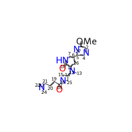 COc1cncc(-c2c[nH]c(=O)c(N(C)C3CN(C(=O)/C=C/CN(C)C)C3)c2)n1